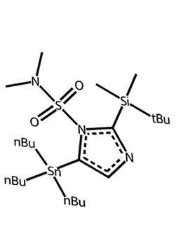 CCC[CH2][Sn]([CH2]CCC)([CH2]CCC)[c]1cnc([Si](C)(C)C(C)(C)C)n1S(=O)(=O)N(C)C